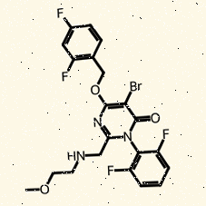 COCCNCc1nc(OCc2ccc(F)cc2F)c(Br)c(=O)n1-c1c(F)cccc1F